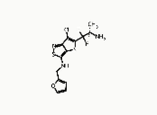 C[C@H](N)C(F)(F)c1sc2c(NCc3ccco3)snc2c1Cl